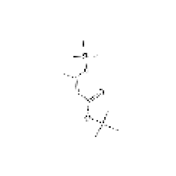 CC(=CC(=O)OC(C)(C)C)O[Si](C)(C)C